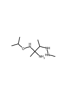 CNNC(C)C(C)(N)NOC(C)C